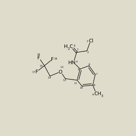 C=C(CCl)Nc1ccc(C)cc1COCC(F)(F)F